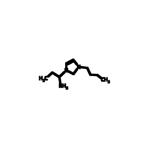 CCCCN1C=CN(C(N)CC)C1